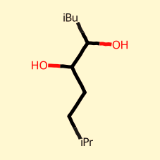 CCC(C)C(O)C(O)CCC(C)C